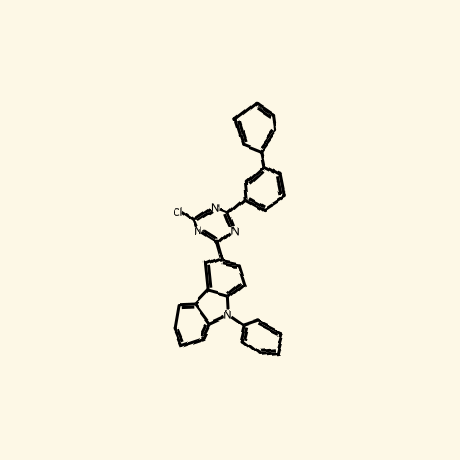 Clc1nc(-c2cccc(-c3ccccc3)c2)nc(-c2ccc3c(c2)c2ccccc2n3-c2ccccc2)n1